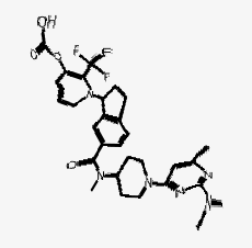 Cc1cc(N2CCC(N(C)C(=O)c3ccc4c(c3)C(N3CC=CC(OC(=O)O)=C3C(F)(F)F)CC4)CC2)nc(N(C)C)n1